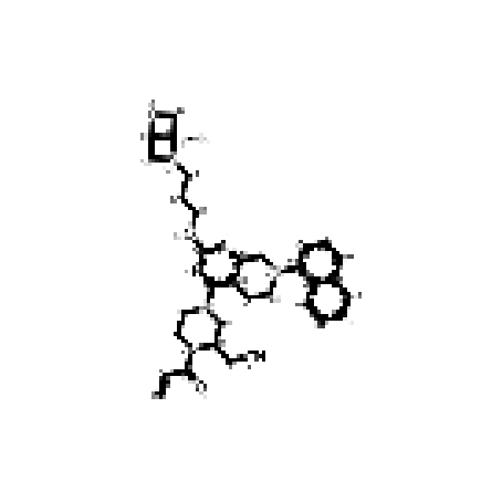 C=CC(=O)N1CCN(c2nc(OCCCN3CC4OC[C@H]43)nc3c2CCN(c2cccc4ccccc24)C3)CC1CC#N